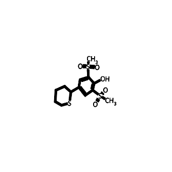 CS(=O)(=O)c1cc(C2CCCCS2)cc(S(C)(=O)=O)c1O